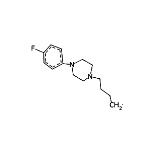 [CH2]CCCN1CCN(c2ccc(F)cc2)CC1